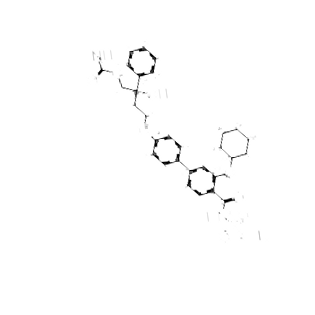 CS(=O)(=O)NC(=O)c1ccc(-c2ccc(OCC[C@](O)(COC(N)=O)c3ccccc3)cc2)cc1OC1CCCCC1